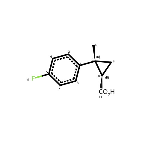 C[C@@]1(c2ccc(F)cc2)C[C@H]1C(=O)O